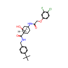 CC(C)(C)c1ccc(CNC(=O)C23CCC(NC(=O)COc4ccc(Cl)c(F)c4)(CC2)C[C@@H]3O)cc1